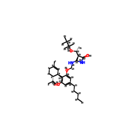 C=C(C)[C@@H]1CCC(C)=C[C@H]1c1c(O)cc(CCCCC)cc1OCNC1NC(=O)[C@@H]1[C@@H](C)O[Si](C)(C)C(C)(C)C